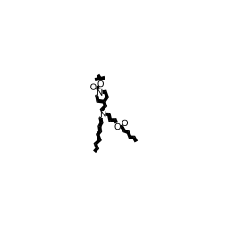 CCCCCCCCCN(CCCOC(=O)CCCCC)CCC1CCN(C(=O)OC(C)(C)C)CC1